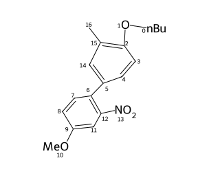 CCCCOc1ccc(-c2ccc(OC)cc2[N+](=O)[O-])cc1C